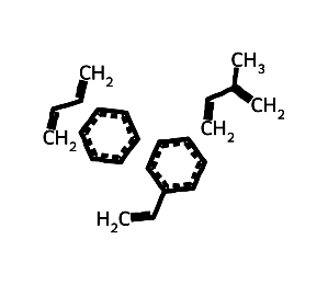 C=CC(=C)C.C=CC=C.C=Cc1ccccc1.c1ccccc1